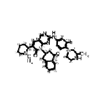 CC1CN(c2ccc(Nc3ncc4cc(C5CCCCN5C)c(=O)n(C5CC(=O)c6ccccc6C5)c4n3)cc2F)CCN1